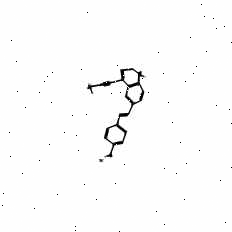 COC(=O)c1ccc(C=Cc2ccc3c(c2)C(C#CC(C)(C)C)=CCC3(C)C)cc1